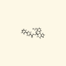 Cc1cccc(C2c3ccsc3CCN2C(=O)CCC(=O)N2CCN(c3ccncc3)CC2)c1